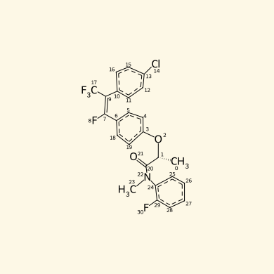 C[C@@H](Oc1ccc(C(F)=C(c2ccc(Cl)cc2)C(F)(F)F)cc1)C(=O)N(C)c1ccccc1F